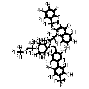 [2H]c1c([2H])c(F)c(F)c(C([2H])([2H])Sc2c([2H])c(=O)c3c([2H])c([2H])c([2H])c([2H])c3n2C([2H])([2H])C(=O)N(Cc2c([2H])c([2H])c(-c3c([2H])c([2H])c(C(F)(F)F)c(C)c3[2H])c([2H])c2[2H])C2([2H])C([2H])([2H])C([2H])([2H])N(C([2H])([2H])COC([2H])([2H])[2H])C([2H])([2H])C2([2H])[2H])c1[2H]